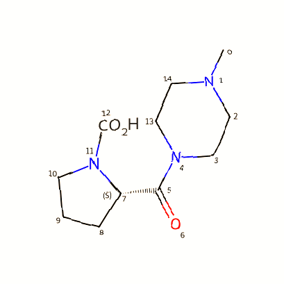 CN1CCN(C(=O)[C@@H]2CCCN2C(=O)O)CC1